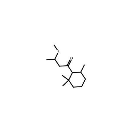 CSC(C)CC(=O)C1C(C)CCCC1(C)C